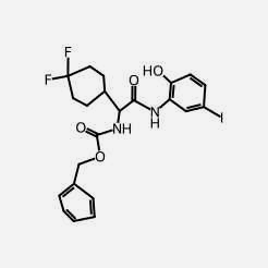 O=C(NC(C(=O)Nc1cc(I)ccc1O)C1CCC(F)(F)CC1)OCc1ccccc1